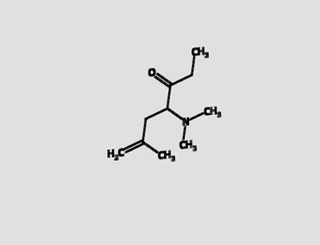 C=C(C)CC(C(=O)CC)N(C)C